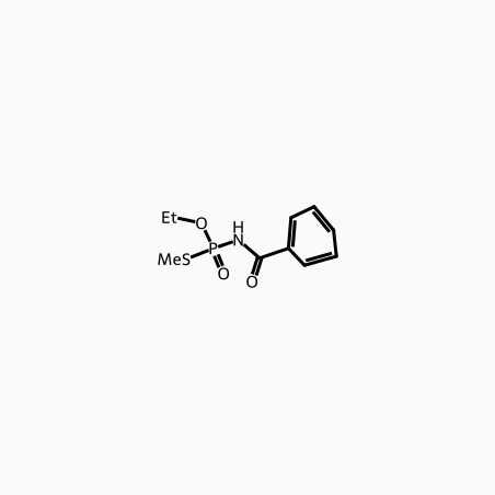 CCOP(=O)(NC(=O)c1ccccc1)SC